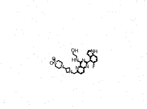 O=S1(=O)CCN(C2CN(Cc3ccc4nc(-c5c(F)ccc6[nH]ccc56)nc(NCCO)c4n3)C2)CC1